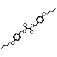 CCCCOc1ccc(COC(=O)C(=O)OCc2ccc(OCCCC)cc2)cc1